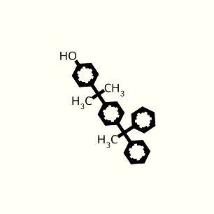 CC(C)(c1ccc(O)cc1)c1ccc(C(C)(c2ccccc2)c2ccccc2)cc1